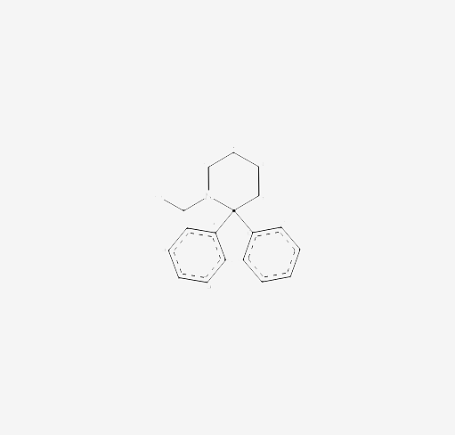 OCN1CCCCC1(c1ccccc1)c1ccccc1